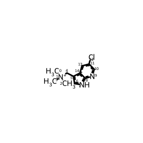 C[N+](C)(C)Cc1c[nH]c2ncc(Cl)cc12